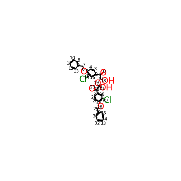 O=C(c1ccc(OCc2ccccc2)c(Cl)c1)C(O)OC(O)C(=O)c1ccc(OCc2ccccc2)c(Cl)c1